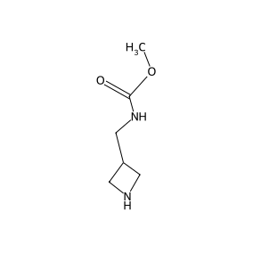 COC(=O)NCC1CNC1